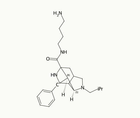 CC(C)CN1CC2CC3(C(=O)NCCCCN)NCC2[C@H]1[C@H]3Cc1ccccc1